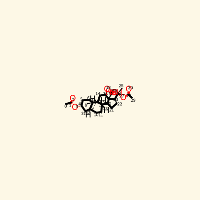 CC(=O)O[C@@H]1CC[C@@]2(C)[C@@H](CC[C@@H]3[C@@H]2CC[C@@]2(C(=O)O)[C@H]3CC[C@@H]2[C@](C)(O)OC(C)=O)C1